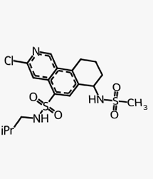 CC(C)CNS(=O)(=O)c1cc2c(c3cnc(Cl)cc13)CCCC2NS(C)(=O)=O